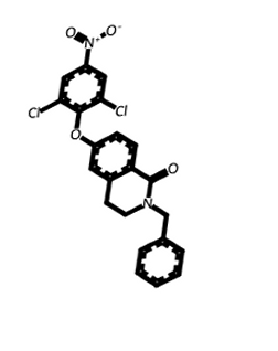 O=C1c2ccc(Oc3c(Cl)cc([N+](=O)[O-])cc3Cl)cc2CCN1Cc1ccccc1